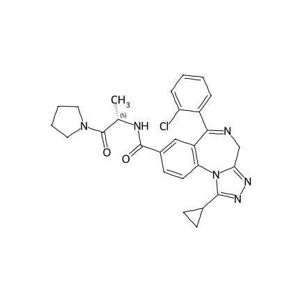 C[C@H](NC(=O)c1ccc2c(c1)C(c1ccccc1Cl)=NCc1nnc(C3CC3)n1-2)C(=O)N1CCCC1